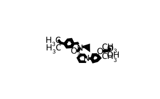 CC(C)c1ccc(CN(C(=O)[C@H]2CCCN(c3cccc(OC(C)(C)C(=O)O)c3)C2)C2CC2)cc1